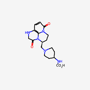 O=C(O)NC1CCN(C[C@@H]2CCn3c4c(ccc3=O)NCC(=O)N42)CC1